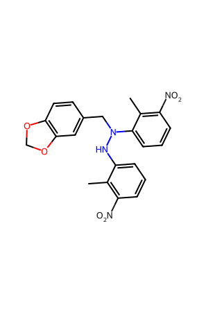 Cc1c(NN(Cc2ccc3c(c2)OCO3)c2cccc([N+](=O)[O-])c2C)cccc1[N+](=O)[O-]